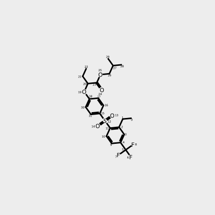 CCc1cc(C(F)(F)F)ccc1S(=O)(=O)c1ccc(OC(CC)C(=O)OCC(C)C)cc1